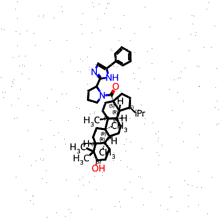 CC(C)[C@@H]1CC[C@]2(C(=O)N3CCCC3c3ncc(-c4ccccc4)[nH]3)CC[C@]3(C)[C@H](CC[C@@H]4[C@@]5(C)CC[C@H](O)C(C)(C)[C@@H]5CC[C@]43C)[C@@H]12